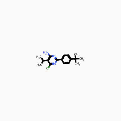 CC(C)c1c(N)nc(-c2ccc(C(C)(C)C)cc2)nc1Cl